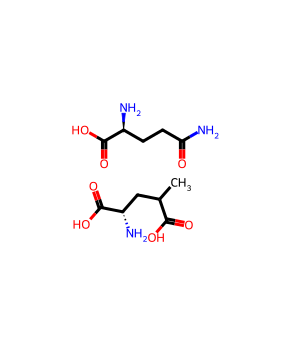 CC(C[C@H](N)C(=O)O)C(=O)O.NC(=O)CC[C@H](N)C(=O)O